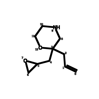 C=CCC1(CC2CO2)CNCCO1